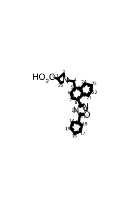 O=C(O)C1CN(Cc2ccc(-c3noc(-c4ccccc4)n3)c3ccccc23)C1